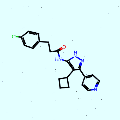 O=C(CCc1ccc(Cl)cc1)Nc1[nH]nc(-c2ccncc2)c1C1CCC1